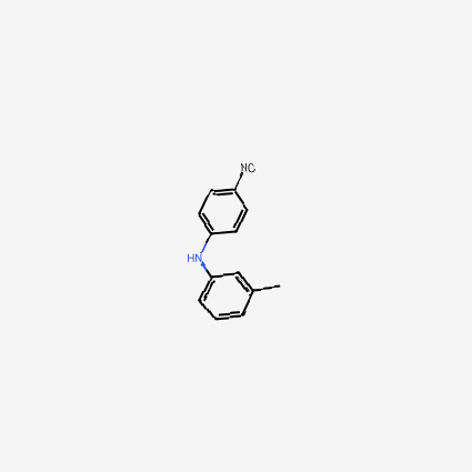 Cc1cccc(Nc2ccc(N=O)cc2)c1